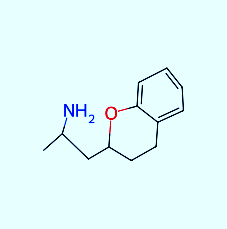 CC(N)CC1CCc2ccccc2O1